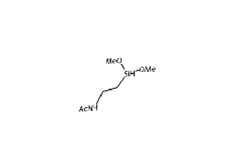 CO[SiH](CCNC(C)=O)OC